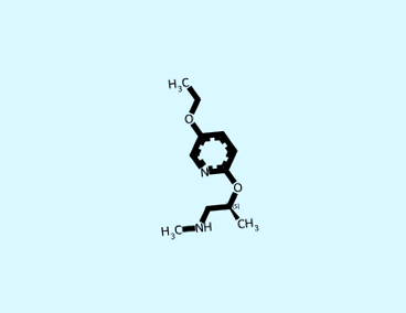 CCOc1ccc(O[C@@H](C)CNC)nc1